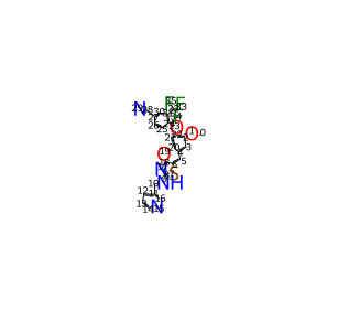 COc1cc(C=C2SC(NCc3cccnc3)=NC2=O)ccc1Oc1ccc(C#N)cc1C(F)(F)F